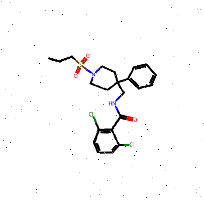 CCCS(=O)(=O)N1CCC(CNC(=O)c2c(Cl)cccc2Cl)(c2ccccc2)CC1